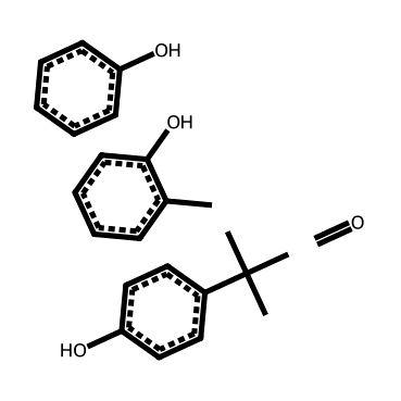 C=O.CC(C)(C)c1ccc(O)cc1.Cc1ccccc1O.Oc1ccccc1